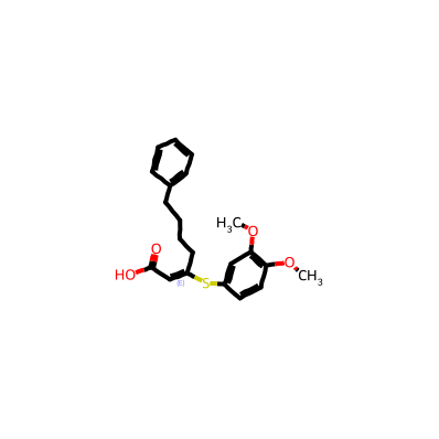 COc1ccc(S/C(=C/C(=O)O)CCCCc2ccccc2)cc1OC